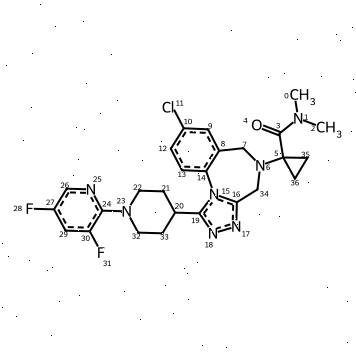 CN(C)C(=O)C1(N2Cc3cc(Cl)ccc3-n3c(nnc3C3CCN(c4ncc(F)cc4F)CC3)C2)CC1